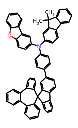 CC1(C)c2ccccc2-c2ccc(N(c3ccc(-c4ccc5c(c4)C4(c6ccccc6-c6ccccc6-c6ccccc64)c4ccccc4-5)cc3)c3ccc4oc5ccccc5c4c3)cc21